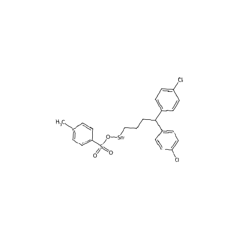 Cc1ccc(S(=O)(=O)[O][Sn][CH2]CCC(c2ccc(Cl)cc2)c2ccc(Cl)cc2)cc1